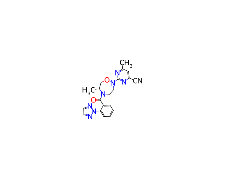 Cc1cc(C#N)nc(N2CCN(C(=O)c3ccccc3-n3nccn3)[C@H](C)CO2)n1